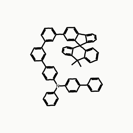 CC1(C)c2ccccc2C2(c3ccccc3-c3ccc(-c4cccc(-c5cccc(-c6ccc(N(c7ccccc7)c7ccc(-c8ccccc8)cc7)cc6)c5)c4)cc32)c2ccccc21